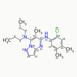 CCCN(CCC)c1c(C)c(Nc2cc(C)c(C)cc2Cl)nc2ccnn12